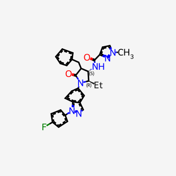 CC[C@@H]1[C@@H](NC(=O)c2ccn(C)n2)C(Cc2ccccc2)C(=O)N1c1ccc2c(cnn2-c2ccc(F)cc2)c1